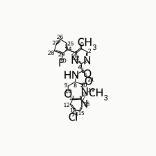 Cc1cnc(C(=O)NC2COc3cc(Cl)cnc3N(C)C2=O)nc1-c1ccccc1F